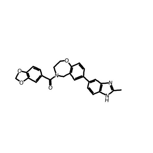 Cc1nc2cc(-c3ccc4c(c3)CN(C(=O)c3ccc5c(c3)OCO5)CCO4)ccc2[nH]1